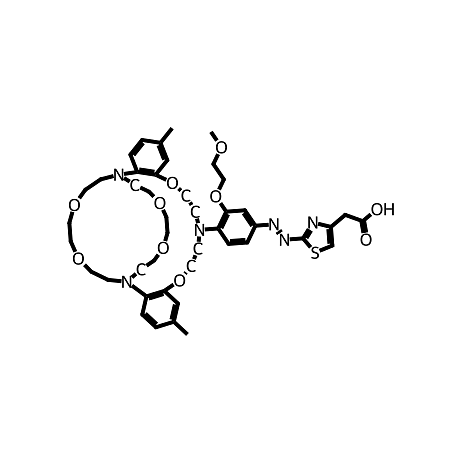 COCCOc1cc(/N=N/c2nc(CC(=O)O)cs2)ccc1N1CCOc2cc(C)ccc2N2CCOCCOCCN(CCOCCOCC2)c2ccc(C)cc2OCC1